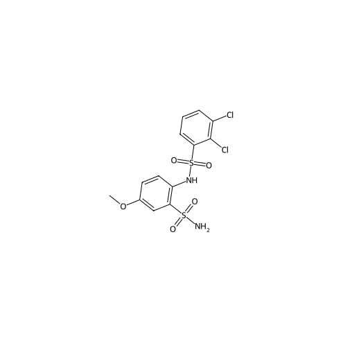 COc1ccc(NS(=O)(=O)c2cccc(Cl)c2Cl)c(S(N)(=O)=O)c1